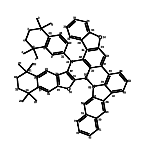 CC1(C)CCC(C)(C)c2cc(N3c4c(oc5cc6c(cc45)C(C)(C)CCC6(C)C)B4c5c(cc6oc7ccccc7c6c53)-c3cccc5c6cc7ccccc7cc6n4c35)ccc21